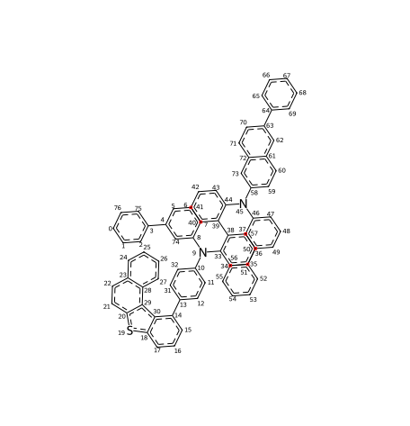 c1ccc(-c2cccc(N(c3ccc(-c4cccc5sc6ccc7ccccc7c6c45)cc3)c3ccccc3-c3ccccc3N(c3cccc(-c4ccccc4)c3)c3ccc4cc(-c5ccccc5)ccc4c3)c2)cc1